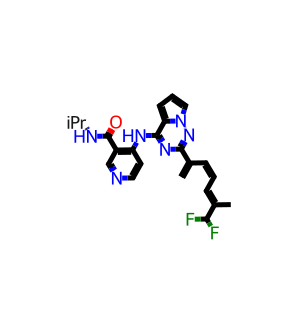 C=C(/C=C\C=C(/C)C(F)F)c1nc(Nc2ccncc2C(=O)NC(C)C)c2cccn2n1